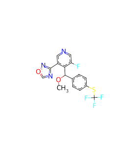 COC(c1ccc(SC(F)(F)F)cc1)c1c(F)cncc1-c1ncon1